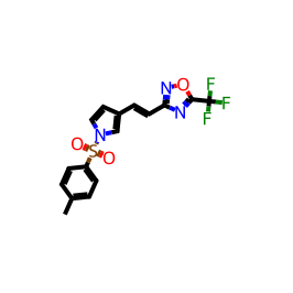 Cc1ccc(S(=O)(=O)n2ccc(C=Cc3noc(C(F)(F)F)n3)c2)cc1